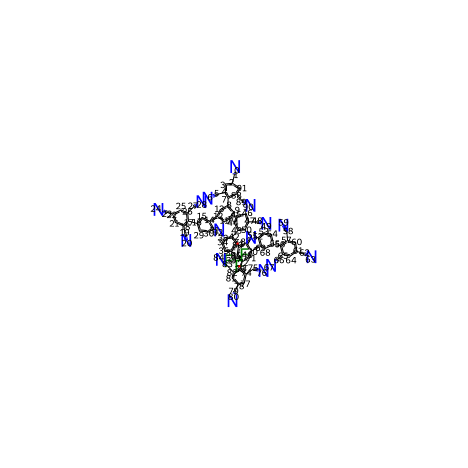 N#Cc1cc(C#N)c(-c2ccc3c(c2)c2cc(-c4c(C#N)cc(C#N)cc4C#N)ccc2n3-c2ccc(C(F)(F)F)cc2-c2cccc(C#N)c2-n2c3ccc(-c4c(C#N)cc(C#N)cc4C#N)cc3c3cc(-c4c(C#N)cc(C#N)cc4C#N)ccc32)c(C#N)c1